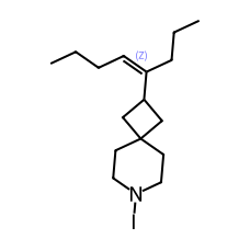 CCC/C=C(/CCC)C1CC2(CCN(I)CC2)C1